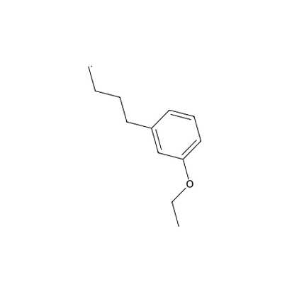 [CH2]CCCc1cccc(OCC)c1